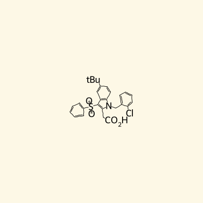 CC(C)(C)c1ccc2c(c1)c(S(=O)(=O)c1ccccc1)c(CC(=O)O)n2Cc1ccccc1Cl